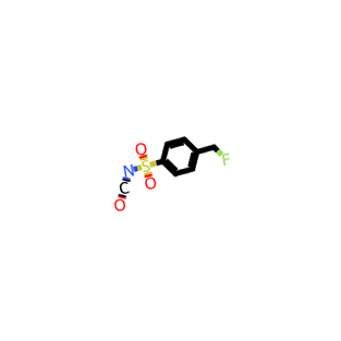 O=C=NS(=O)(=O)c1ccc(CF)cc1